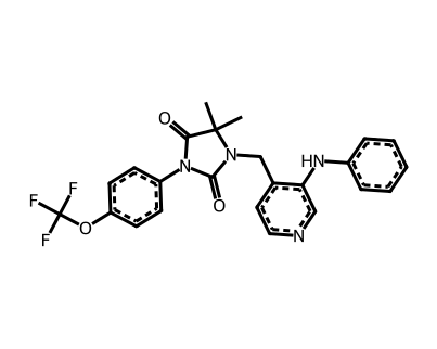 CC1(C)C(=O)N(c2ccc(OC(F)(F)F)cc2)C(=O)N1Cc1ccncc1Nc1ccccc1